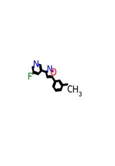 CCc1cccc(-c2cc(-c3cncc(F)c3)no2)c1